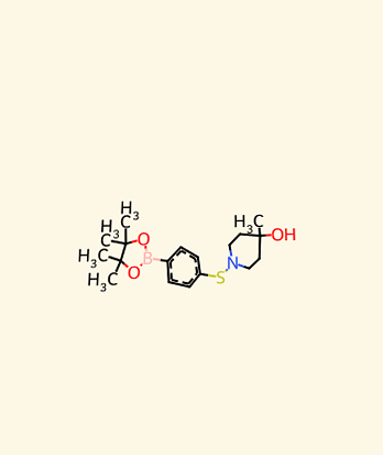 CC1(O)CCN(Sc2ccc(B3OC(C)(C)C(C)(C)O3)cc2)CC1